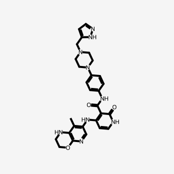 Cc1c(Nc2cc[nH]c(=O)c2C(=O)Nc2ccc(N3CCN(Cc4ccn[nH]4)CC3)cc2)cnc2c1NCCO2